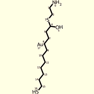 NCCSC(O)CCCCCCCCCCS.[Au]